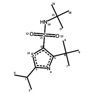 CC(C)c1nc(C(C)(C)C)c(S(=O)(=O)NC(C)(C)C)s1